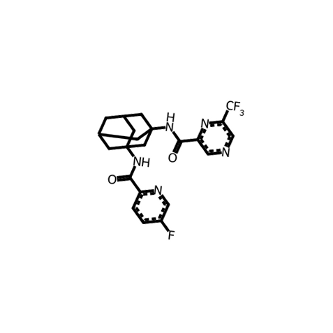 O=C(NC12CC3CC(C1)CC(NC(=O)c1cncc(C(F)(F)F)n1)(C3)C2)c1ccc(F)cn1